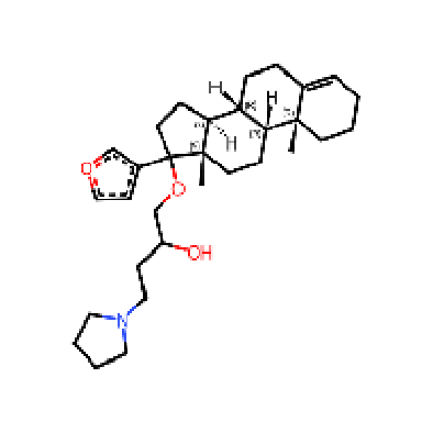 C[C@]12CCCC=C1CC[C@@H]1[C@H]2CC[C@@]2(C)[C@H]1CCC2(OCC(O)CCN1CCCC1)c1ccoc1